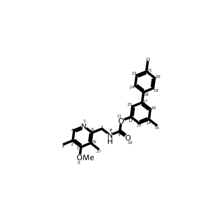 COc1c(C)cnc(CNC(=O)Oc2cc(C)cc(-c3ccc(C)cc3)c2)c1C